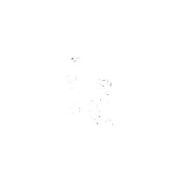 COc1ccccc1Oc1c(NS(=O)(=O)c2ccc(C)cn2)nc(-c2ccnc(-c3nnn[nH]3)c2)nc1OCCOC(=O)c1ccc(CO[N+](=O)[O-])cc1